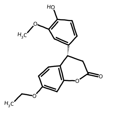 CCOc1ccc2c(c1)OC(=O)C[C@H]2c1ccc(O)c(OC)c1